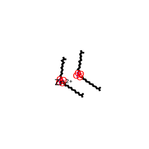 CC(C)CCCCCCCCCCOP(=O)([O-])OCCCCCCCCCCC(C)C.CC(C)CCCCCCCCCCOP(=O)([O-])OCCCCCCCCCCC(C)C.[Zn+2]